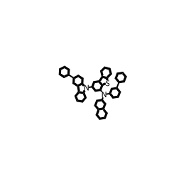 c1ccc(-c2cccc(N(c3ccc4ccccc4c3)c3cc(-n4c5ccccc5c5cc(-c6ccccc6)ccc54)cc4c3sc3ccccc34)c2)cc1